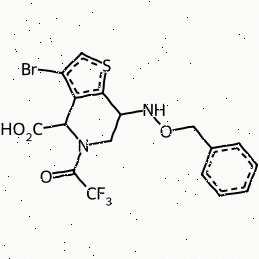 O=C(O)C1c2c(Br)csc2C(NOCc2ccccc2)CN1C(=O)C(F)(F)F